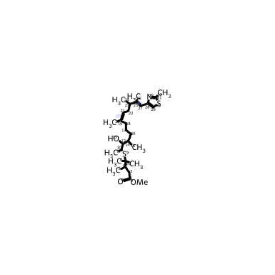 COC(=O)CC(C)C(C)(C)SC(C)C(O)C(C)CCC/C(C)=C\CC(C)/C(C)=C/c1csc(C)n1